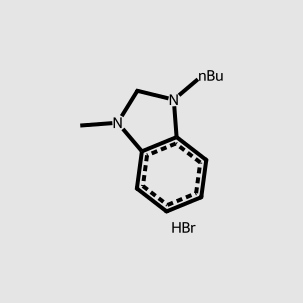 Br.CCCCN1CN(C)c2ccccc21